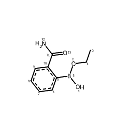 CCOB(O)c1ccccc1C(N)=O